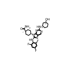 C[C@]1(C(N)=O)CC[C@@H](n2c(Nc3c(F)cc(F)cc3F)nc3cnc(N[C@H]4CCC[C@H](O)C4)nc32)CC1